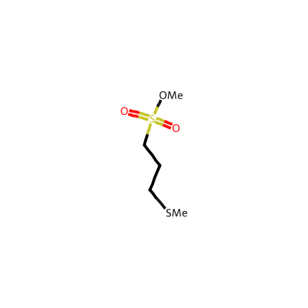 COS(=O)(=O)CCCSC